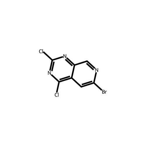 Clc1nc(Cl)c2cc(Br)ncc2n1